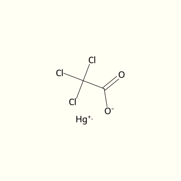 O=C([O-])C(Cl)(Cl)Cl.[Hg+]